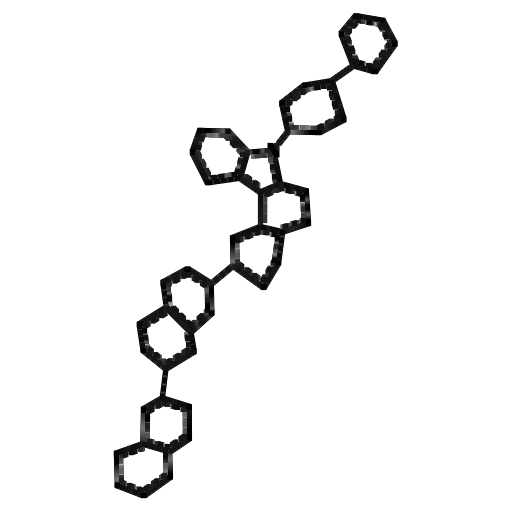 c1ccc(-c2ccc(-n3c4ccccc4c4c5cc(-c6ccc7ccc(-c8ccc9ccccc9c8)cc7c6)ccc5ccc43)cc2)cc1